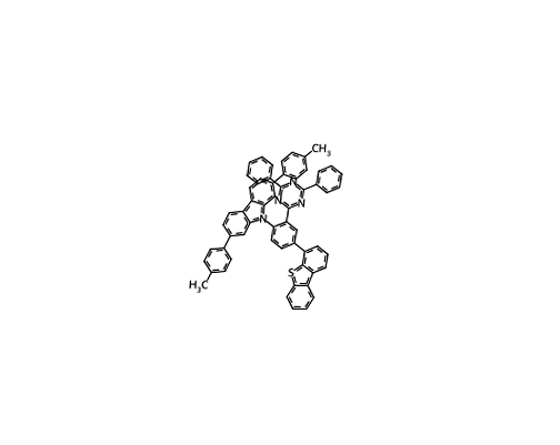 Cc1ccc(-c2ccc3c4ccc(-c5ccc(C)cc5)cc4n(-c4ccc(-c5cccc6c5sc5ccccc56)cc4-c4nc(-c5ccccc5)nc(-c5ccccc5)n4)c3c2)cc1